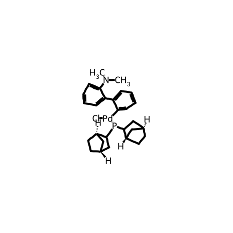 CN(C)c1ccccc1-c1cccc[c]1[Pd]([Cl])[P](C1C[C@@H]2CC[C@@H]1C2)C1C[C@H]2CC[C@H]1C2